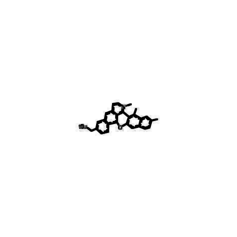 Cc1ccc2cc3c(c(C)c2c1)-c1c2c(c4ccc(CC(C)(C)C)cc4cc2cc[n+]1C)O3